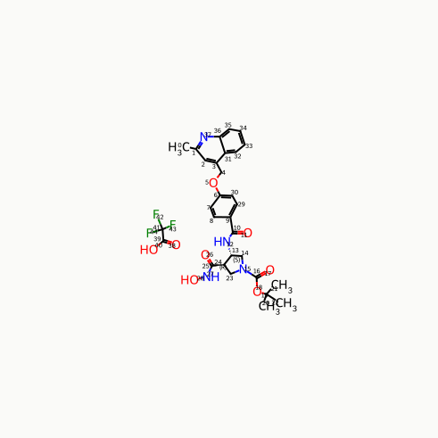 Cc1cc(COc2ccc(C(=O)N[C@@H]3CN(C(=O)OC(C)(C)C)C[C@H]3C(=O)NO)cc2)c2ccccc2n1.O=C(O)C(F)(F)F